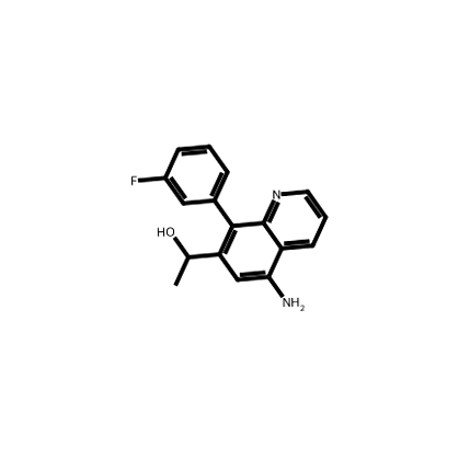 CC(O)c1cc(N)c2cccnc2c1-c1cccc(F)c1